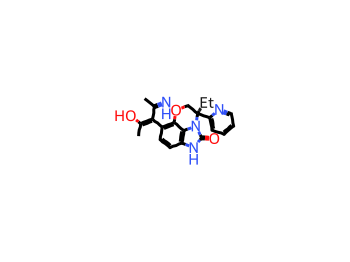 CCC1(c2ccccn2)COc2c(/C(C(C)=N)=C(\C)O)ccc3[nH]c(=O)n1c23